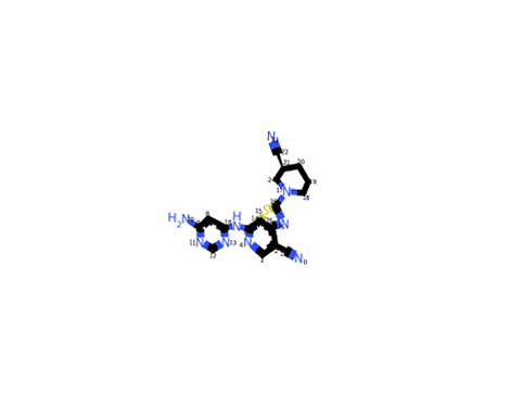 N#Cc1cnc(Nc2cc(N)ncn2)c2sc(N3CCC[C@H](C#N)C3)nc12